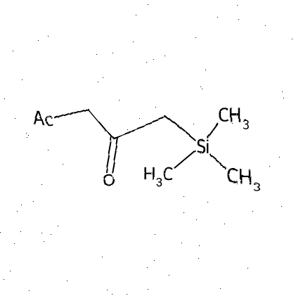 CC(=O)CC(=O)C[Si](C)(C)C